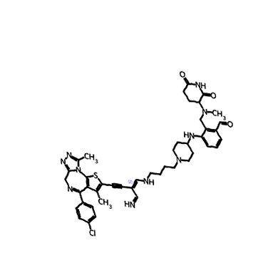 Cc1c(C#C/C(C=N)=C/NCCCCN2CCC(Nc3cccc(C=O)c3CN(C)C3CCC(=O)NC3=O)CC2)sc2c1C(c1ccc(Cl)cc1)=NCc1nnc(C)n1-2